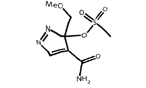 COCC1(OS(C)(=O)=O)N=NC=C1C(N)=O